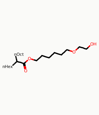 CCCCCCCCC(CCCCCC)C(=O)OCCCCCCOCCO